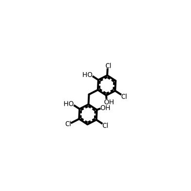 Oc1c(Cl)cc(Cl)c(O)c1Cc1c(O)c(Cl)cc(Cl)c1O